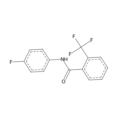 O=C(Nc1ccc(F)cc1)c1ccccc1C(F)(F)F